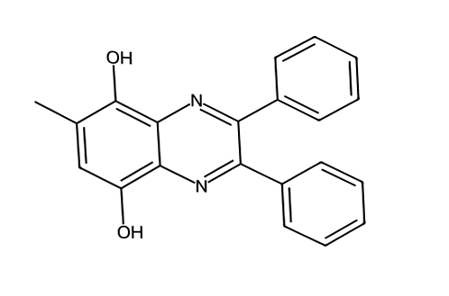 Cc1cc(O)c2nc(-c3ccccc3)c(-c3ccccc3)nc2c1O